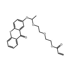 C=CC(=O)OCCOCCOC(C)Oc1ccc2sc3ccccc3c(=O)c2c1